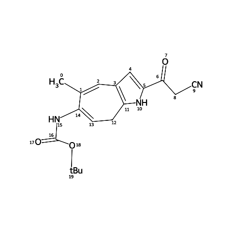 CC1=Cc2cc(C(=O)CC#N)[nH]c2CC=C1NC(=O)OC(C)(C)C